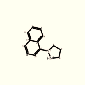 c1ccc2c(N3CCCN3)cccc2c1